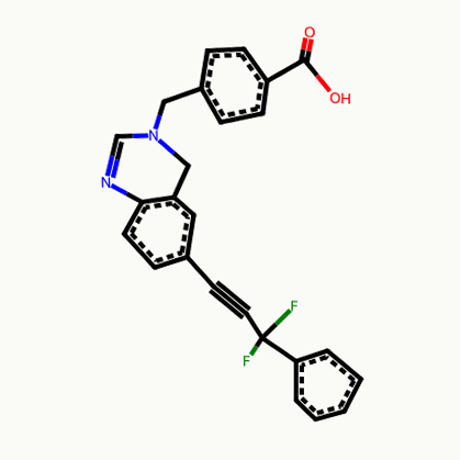 O=C(O)c1ccc(CN2C=Nc3ccc(C#CC(F)(F)c4ccccc4)cc3C2)cc1